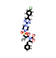 CC(C)[C@@H](CS(=O)(=O)N1CCN(c2ncc(-c3ccc(Cl)cc3)cn2)CC1)C(=O)N1C(=O)OC[C@H]1Cc1ccccc1